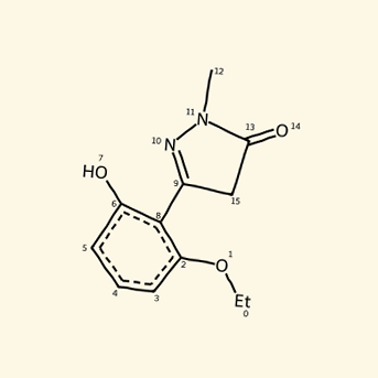 CCOc1cccc(O)c1C1=NN(C)C(=O)C1